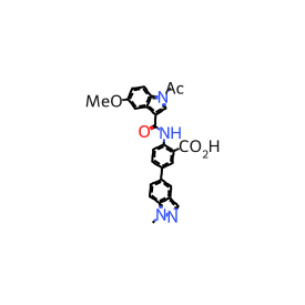 COc1ccc2c(c1)c(C(=O)Nc1ccc(-c3ccc4c(cnn4C)c3)cc1C(=O)O)cn2C(C)=O